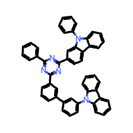 c1ccc(-c2nc(-c3cccc(-c4cccc(-n5c6ccccc6c6ccccc65)c4)c3)nc(-c3ccc4c5ccccc5n(-c5ccccc5)c4c3)n2)cc1